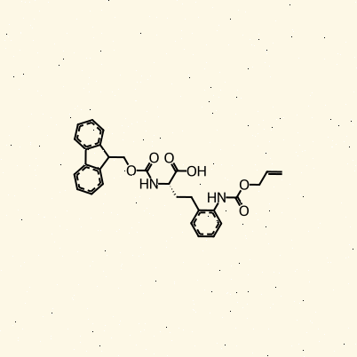 C=CCOC(=O)Nc1ccccc1CC[C@H](NC(=O)OCC1c2ccccc2-c2ccccc21)C(=O)O